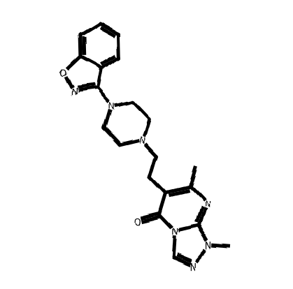 Cc1nc2n(C)ncn2c(=O)c1CCN1CCN(c2noc3ccccc23)CC1